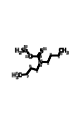 CCCCN(CCCC)C(=S)[O][SbH2]